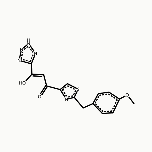 COc1ccc(Cc2nc(C(=O)C=C(O)c3nn[nH]n3)cs2)cc1